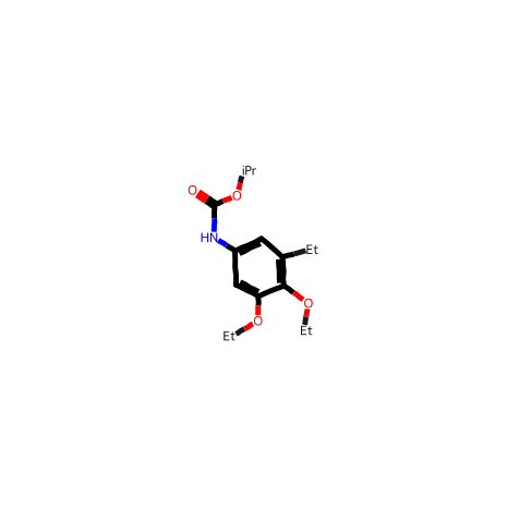 CCOc1cc(NC(=O)OC(C)C)cc(CC)c1OCC